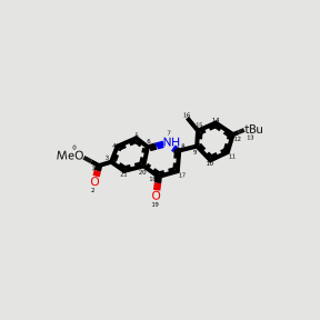 COC(=O)c1ccc2[nH]c(-c3ccc(C(C)(C)C)cc3C)cc(=O)c2c1